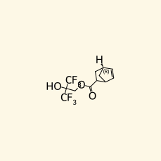 O=C(OCC(O)(C(F)(F)F)C(F)(F)F)C1C[C@@H]2C=CC1C2